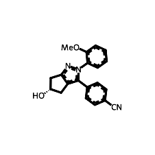 COc1ccccc1-n1nc2c(c1-c1ccc(C#N)cc1)C[C@H](O)C2